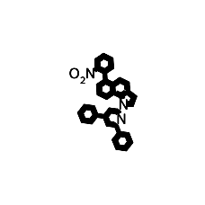 O=[N+]([O-])c1ccccc1-c1cccc2c1ccc1ccn(-c3cc(-c4ccccc4)cc(-c4ccccc4)n3)c12